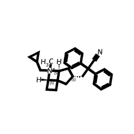 C[N+]1(CC2CC2)[C@H]2CCC23C[C@@H](CC(C#N)(c2ccccc2)c2ccccc2)C[C@@H]31